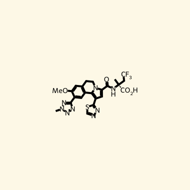 COc1cc2c(cc1-c1nnn(C)n1)-c1c(-c3nncs3)cc(C(=O)N[C@@](C)(CC(F)(F)F)C(=O)O)n1CC2